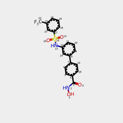 O=C(NO)c1ccc(-c2cccc(NS(=O)(=O)c3cccc(C(F)(F)F)c3)c2)cc1